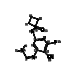 CN(C)/C=N\c1cc(N=S2(=O)CCC2)cc(F)c1C#N